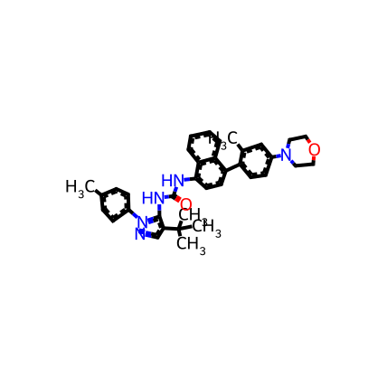 Cc1ccc(-n2ncc(C(C)(C)C)c2NC(=O)Nc2ccc(-c3ccc(N4CCOCC4)cc3C)c3ccccc23)cc1